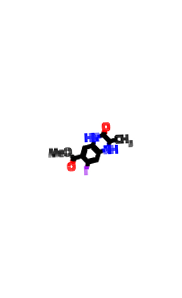 COC(=O)c1cc2c(cc1I)NC(C)C(=O)N2